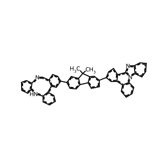 CC1(C)c2cc(-c3ccc4cnc5ccccc5[nH]c5ccccc5c4c3)ccc2-c2ccc(-c3ccc4c(c3)c3ccccc3n3c5ccccc5nc43)cc21